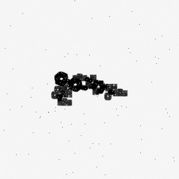 CCCCC(=O)Nc1cnc2c(c1)nc(CCCC)n2Cc1ccc(-c2ccccc2S(=O)(=O)NC(=O)CCCC)cc1